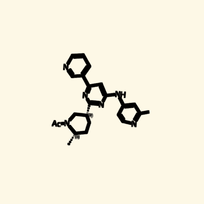 CC(=O)N1C[C@H](c2nc(Nc3ccnc(C)c3)cc(-c3cccnc3)n2)CC[C@@H]1C